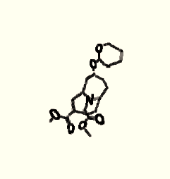 COC(=O)CN1C2CCC(OC3CCCCO3)CC1CC(C(=O)OC)CC2